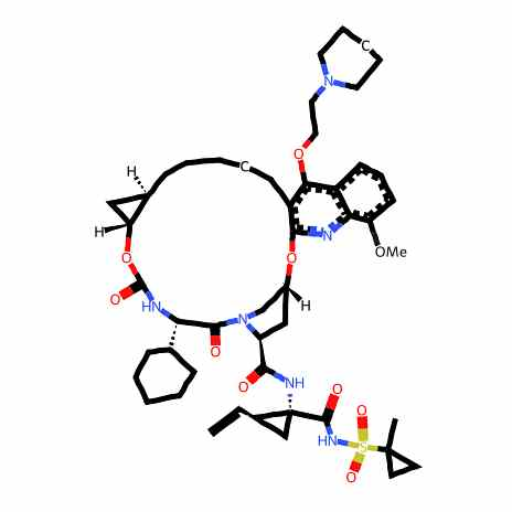 C=C[C@@H]1C[C@]1(NC(=O)[C@@H]1C[C@@H]2CN1C(=O)[C@H](C1CCCCC1)NC(=O)O[C@@H]1C[C@H]1CCCCCc1c(nc3c(OC)cccc3c1OCCN1CCCCC1)O2)C(=O)NS(=O)(=O)C1(C)CC1